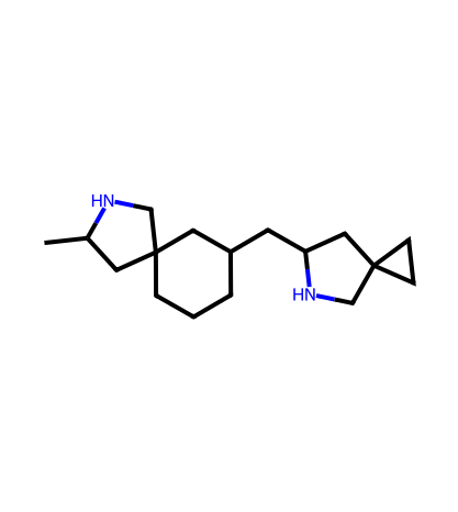 CC1CC2(CCCC(CC3CC4(CC4)CN3)C2)CN1